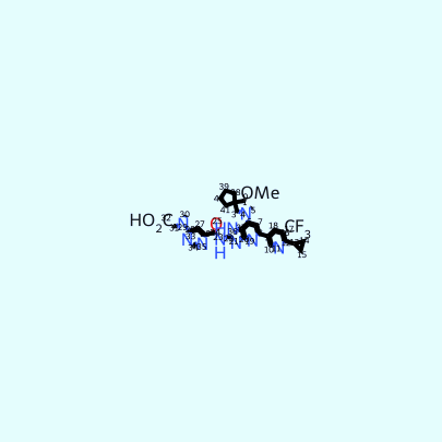 COCC1(CN(C)c2cc(-c3cnc(C4CC4)c(C(F)(F)F)c3)nc3nc(NC(=O)c4cc(N(C)CC(=O)O)ncn4)[nH]c23)CCCC1